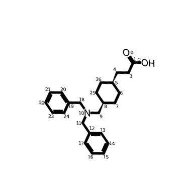 O=C(O)CC[C@H]1CC[C@@H](CN(Cc2ccccc2)Cc2ccccc2)CC1